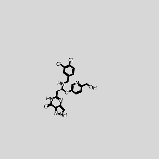 O=c1[nH]c(C[C@@H](NCc2ccc(Cl)c(Cl)c2)Oc2ccc(CO)nc2)nc2c[nH]nc12